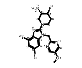 COc1cnc(Cn2c(N3CCC(F)[C@H](N)C3)nc3c(F)cc(F)cc32)nc1